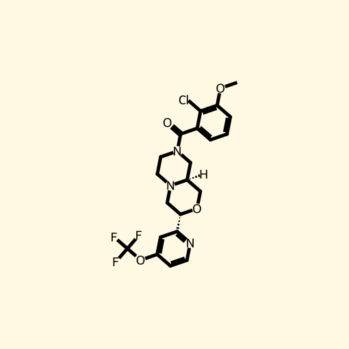 COc1cccc(C(=O)N2CCN3C[C@@H](c4cc(OC(F)(F)F)ccn4)OC[C@@H]3C2)c1Cl